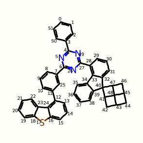 c1ccc(-c2nc(-c3cccc(-c4cccc5sc6ccccc6c45)c3)nc(-c3cccc4c3-c3ccccc3C43C4CC5CC6CC3C564)n2)cc1